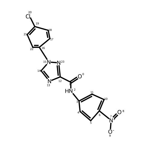 O=C(Nc1ccc([N+](=O)[O-])cc1)c1ncn(-c2ccc(Cl)cc2)n1